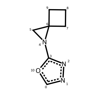 c1nnc(N2CC23CCC3)o1